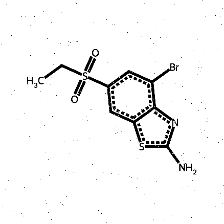 CCS(=O)(=O)c1cc(Br)c2nc(N)sc2c1